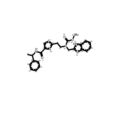 CC(NC(=O)c1csc(CCN(Cc2nc3ccccc3[nH]2)C(=O)OC(C)(C)C)n1)c1ccccc1